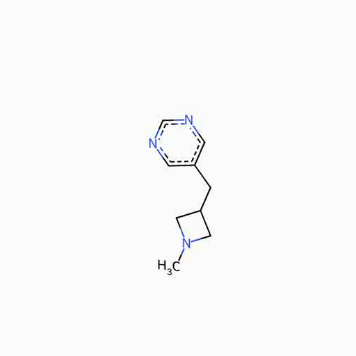 CN1CC(Cc2cncnc2)C1